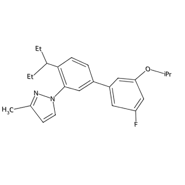 CCC(CC)c1ccc(-c2cc(F)cc(OC(C)C)c2)cc1-n1ccc(C)n1